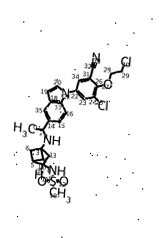 CC(NC12CC(C1)[C@@H](NS(C)(=O)=O)C2)c1ccc2c(ccn2-c2cc(Cl)c(OCCCl)c(C#N)c2)c1